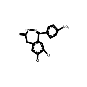 O=C1Cc2cc(Cl)c(Cl)cc2C(c2ccc([N+](=O)[O-])cc2)=NN1